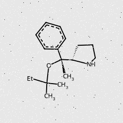 CCC(C)(C)O[C@](C)(c1ccccc1)[C@@H]1CCCN1